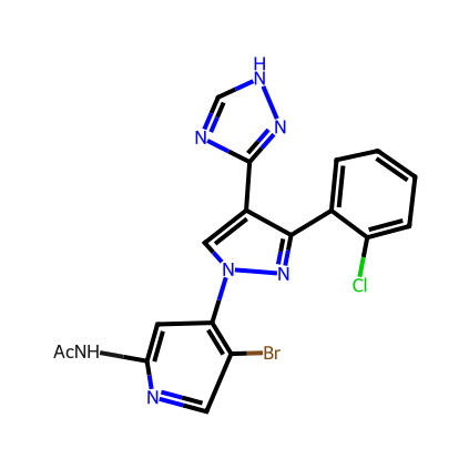 CC(=O)Nc1cc(-n2cc(-c3nc[nH]n3)c(-c3ccccc3Cl)n2)c(Br)cn1